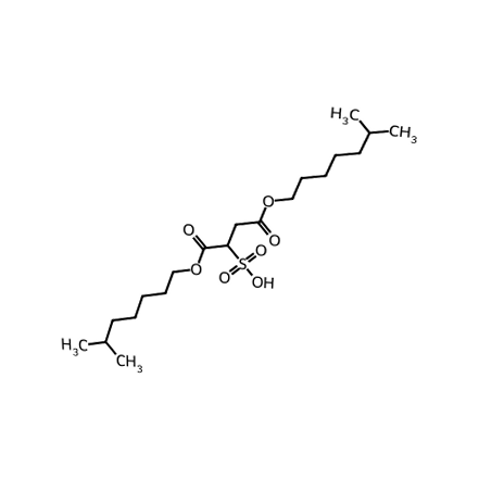 CC(C)CCCCCOC(=O)CC(C(=O)OCCCCCC(C)C)S(=O)(=O)O